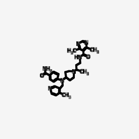 Cc1ccncc1CN(c1ccc(C(N)=O)cc1)C1CCN(C(C)CCNC(=O)c2c(C)ncnc2C)CC1